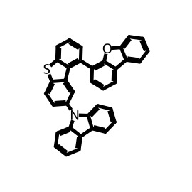 c1ccc2c(c1)oc1c(-c3cccc4sc5ccc(-n6c7ccccc7c7ccccc76)cc5c34)cccc12